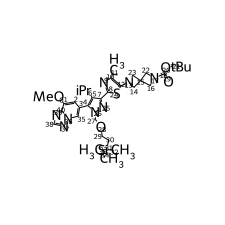 COc1cc(-c2c(C(C)C)c(-c3nc(C)c(N4CC5(CN(C(=O)OC(C)(C)C)C5)C4)s3)nn2COCC[Si](C)(C)C)cn2ncnc12